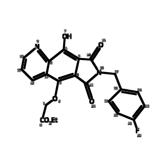 CCOC(=O)COc1c2c(c(O)c3ncccc13)C(=O)N(Cc1ccc(F)cc1)C2=O